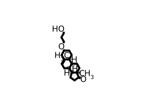 C[C@]12CCC(OCCCO)CC1=CC[C@@H]1[C@H]2CC[C@]2(C)C(=O)CC[C@@H]12